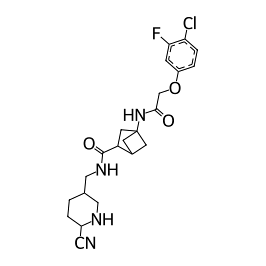 N#CC1CCC(CNC(=O)C2CC3(NC(=O)COc4ccc(Cl)c(F)c4)CC2C3)CN1